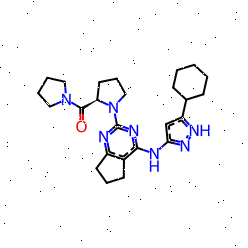 O=C([C@H]1CCCN1c1nc2c(c(Nc3cc(C4CCCCC4)[nH]n3)n1)CCC2)N1CCCC1